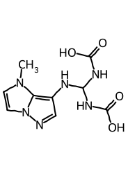 Cn1ccn2ncc(NC(NC(=O)O)NC(=O)O)c12